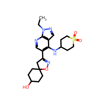 CCn1ncc2c(NC3CCS(=O)(=O)CC3)c(C3=NOC4(CCC(O)CC4)C3)cnc21